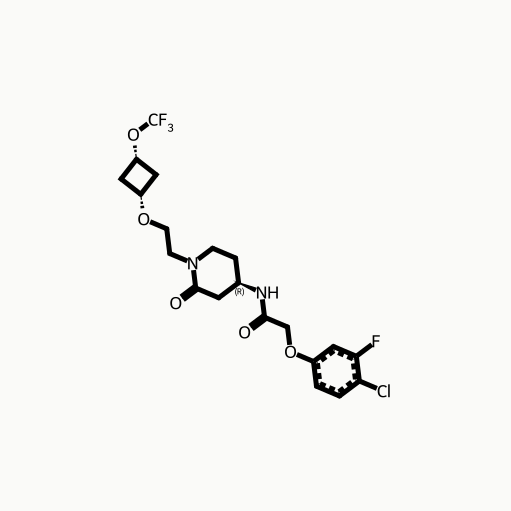 O=C(COc1ccc(Cl)c(F)c1)N[C@@H]1CCN(CCO[C@H]2C[C@@H](OC(F)(F)F)C2)C(=O)C1